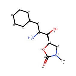 CCN1C[C@H](C(O)C(N)CC2CCCCC2)OC1=O